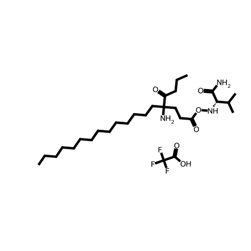 CCCCCCCCCCCCCCC(N)(CCC(=O)ON[C@H](C(N)=O)C(C)C)C(=O)CCC.O=C(O)C(F)(F)F